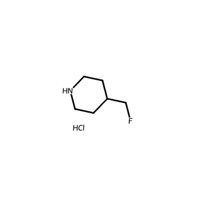 Cl.FCC1CCNCC1